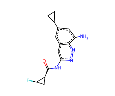 Nc1cc(C2CC2)cc2cc(NC(=O)[C@H]3C[C@H]3F)nnc12